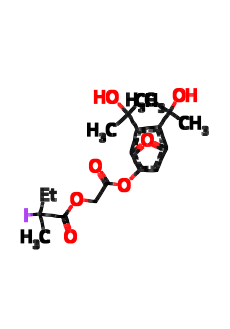 CCC(C)(I)C(=O)OCC(=O)Oc1cc2oc1c(C(C)(C)O)c2C(C)(C)O